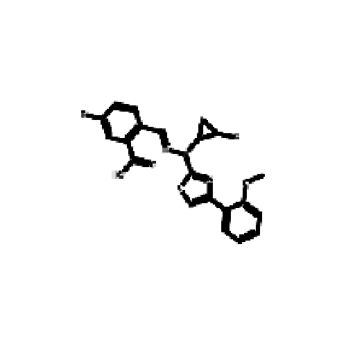 COc1ccccc1-c1csc(N(/N=C/c2ccc(F)cc2C(=O)O)C2CC2F)n1